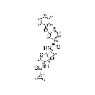 O=C(NC1COC2C(NC(=O)C3CC3)COC12)c1cccc(Oc2ccccc2)c1